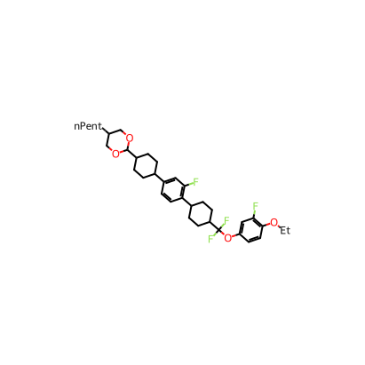 CCCCCC1COC(C2CCC(c3ccc(C4CCC(C(F)(F)Oc5ccc(OCC)c(F)c5)CC4)c(F)c3)CC2)OC1